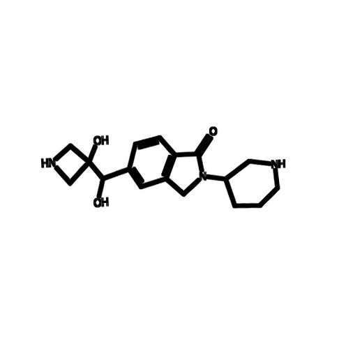 O=C1c2ccc(C(O)C3(O)CNC3)cc2CN1C1CCCNC1